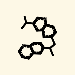 CC(C)c1cnc2ccc(CC(C)c3ccc4ncccc4c3)cc2c1